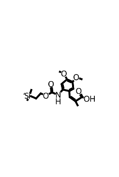 COc1cc(C=C(C)C(=O)O)c(NC(=O)OCC[Si](C)(C)C)cc1OC